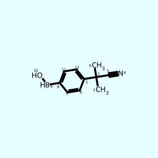 CC(C)(C#N)c1ccc(BO)cc1